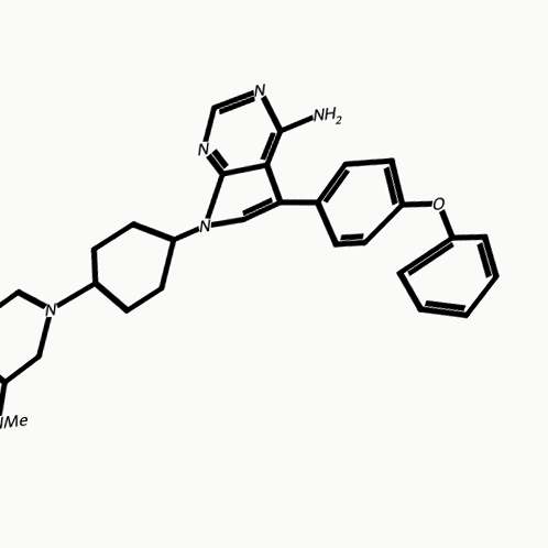 CNC1CCCN(C2CCC(n3cc(-c4ccc(Oc5ccccc5)cc4)c4c(N)ncnc43)CC2)C1